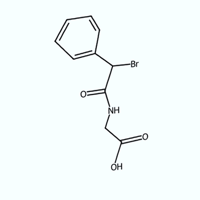 O=C(O)CNC(=O)C(Br)c1ccccc1